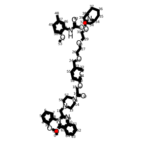 CCOc1ccccc1-n1c(CN2CCN(C(=O)COc3ccc(COCCOCCOCN4C5CCCC4CC(OC(=O)Nc4cc(C)ccc4OC)C5)cc3)CC2)nc2ccccc2c1=O